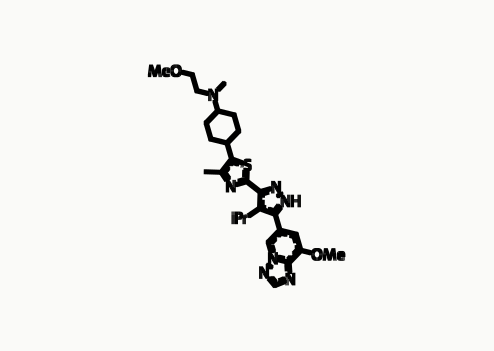 COCCN(C)C1CCC(c2sc(-c3n[nH]c(-c4cc(OC)c5ncnn5c4)c3C(C)C)nc2C)CC1